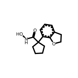 O=C(NO)C1(c2cccc3c2OCC3)CCCC1